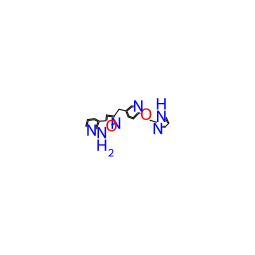 Nc1ncccc1-c1cc(Cc2ccc(OCC3N=CC=CN3)nc2)no1